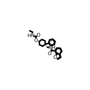 CCNC(=O)O[C@H]1CC[C@](CNC(=O)c2cccc3ccoc23)(c2ccccc2)CC1